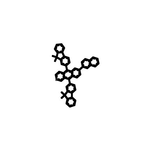 CC1(C)c2ccccc2-c2ccc(-c3c4ccc(-c5ccc6ccccc6c5)cc4c(-c4ccc5c(c4)C(C)(C)c4ccccc4-5)c4ccncc34)cc21